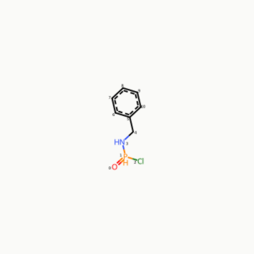 O=[PH](Cl)NCc1ccccc1